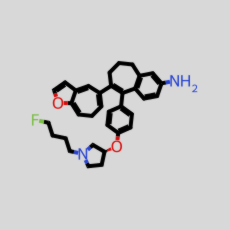 Nc1ccc2c(c1)CCCC(C1=CCC=c3occc3=C1)=C2c1ccc(O[C@H]2CCN(CCCCF)C2)cc1